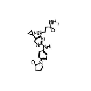 NC(=O)CCNc1nc(Nc2ccc(N3CCCC3=O)cc2)ncc1C1CC1